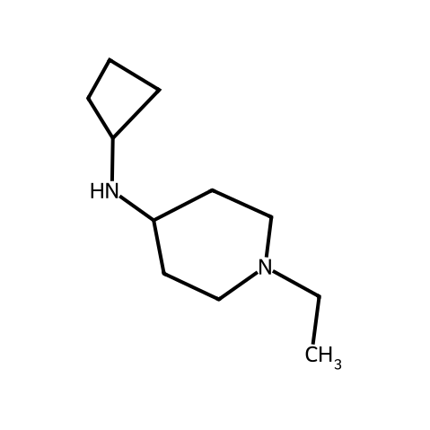 CCN1CCC(NC2CCC2)CC1